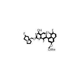 CCc1c(F)ccc2cc(OCOC)cc(-c3ncc4c(O)nc(OC[C@@]56CCCN5CC(F)C6)nc4c3F)c12